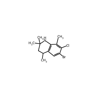 Cc1c(Cl)c(Br)cc2c1NC(C)(C)CC2C